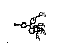 C=CCN1CCN(C(c2ccc(C#N)cc2)c2cccc(C(C)(C)C)c2O[SiH](C)C)CC1